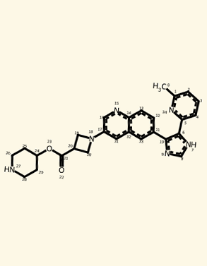 Cc1cccc(-c2[nH]cnc2-c2ccc3ncc(N4CC(C(=O)OC5CCNCC5)C4)cc3c2)n1